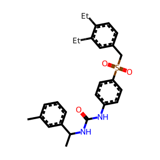 CCc1ccc(CS(=O)(=O)c2ccc(NC(=O)NC(C)c3cccc(C)c3)cc2)cc1CC